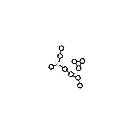 c1ccc(-c2ccc(-c3nc(-c4ccccc4)nc(-c4ccc(-c5ccc6c7cc(-c8ccccc8)ccc7n(-c7ccc8c9ccccc9c9ccccc9c8c7)c6c5)cc4)n3)cc2)cc1